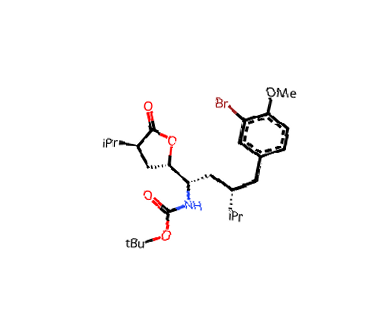 COc1ccc(C[C@@H](C[C@H](NC(=O)OC(C)(C)C)[C@@H]2C[C@@H](C(C)C)C(=O)O2)C(C)C)cc1Br